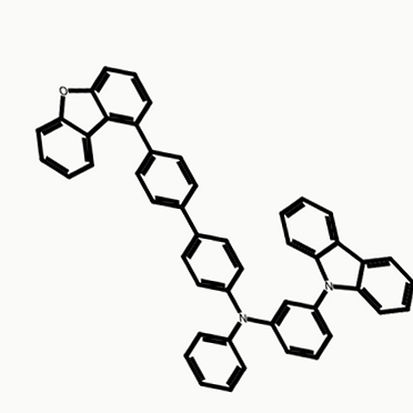 c1ccc(N(c2ccc(-c3ccc(-c4cccc5oc6ccccc6c45)cc3)cc2)c2cccc(-n3c4ccccc4c4ccccc43)c2)cc1